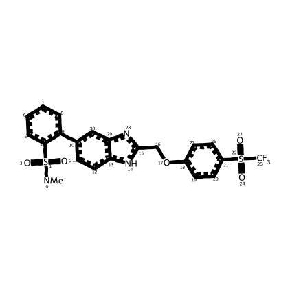 CNS(=O)(=O)c1ccccc1-c1ccc2[nH]c(COc3ccc(S(=O)(=O)C(F)(F)F)cc3)nc2c1